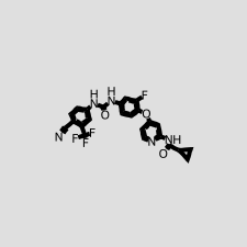 N#Cc1ccc(NC(=O)Nc2ccc(Oc3ccnc(NC(=O)C4CC4)c3)c(F)c2)cc1C(F)(F)F